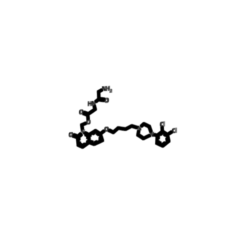 NCC(=O)NCC(=O)OCn1c(=O)ccc2ccc(OCCCCN3CCN(c4cccc(Cl)c4Cl)CC3)cc21